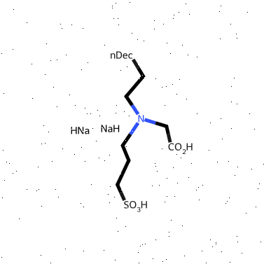 CCCCCCCCCCCCN(CCCS(=O)(=O)O)CC(=O)O.[NaH].[NaH]